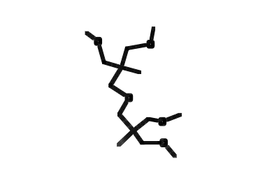 COCC(C)(COC)COCC(C)(COC)COC